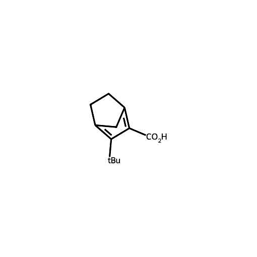 CC(C)(C)C1=C2CCC(=C1C(=O)O)C2